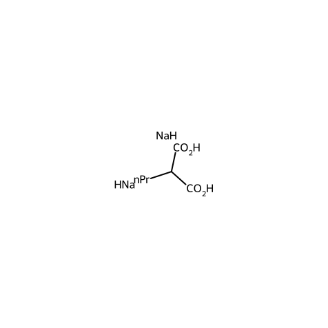 CCCC(C(=O)O)C(=O)O.[NaH].[NaH]